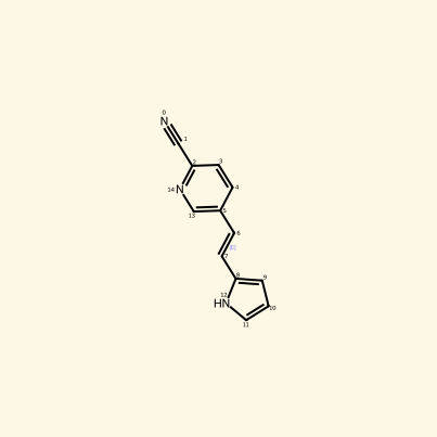 N#Cc1ccc(/C=C/c2ccc[nH]2)cn1